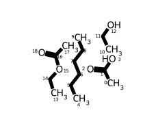 CC(=O)O.CCCCCC.CCO.CCOC(C)=O